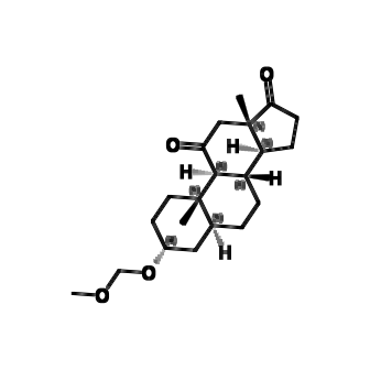 COCO[C@@H]1CC[C@@]2(C)[C@@H](CC[C@@H]3[C@@H]2C(=O)C[C@]2(C)C(=O)CC[C@@H]32)C1